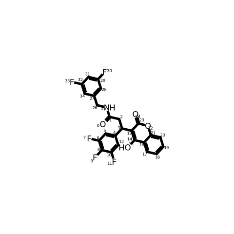 O=C(CC(c1cc(F)c(F)c(F)c1)c1c(O)c2ccccc2oc1=O)NCc1cc(F)cc(F)c1